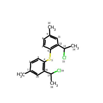 Cc1ccc(Sc2ccc(C)cc2C(C)Cl)c(C(C)Cl)c1